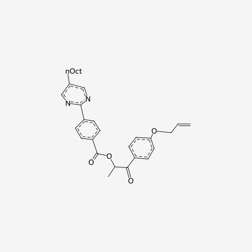 C=CCOc1ccc(C(=O)C(C)OC(=O)c2ccc(-c3ncc(CCCCCCCC)cn3)cc2)cc1